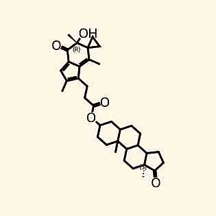 CC1=C(CCC(=O)OC2CCC3(C)C(CCC4C3CC[C@]3(C)C(=O)CCC43)C2)C2=C(C)C3(CC3)[C@@](C)(O)C(=O)C2=C1